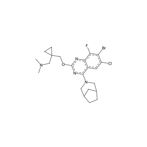 CN(C)CC1(COc2nc(N3CC4CCC(C4)C3)c3cc(Cl)c(Br)c(F)c3n2)CC1